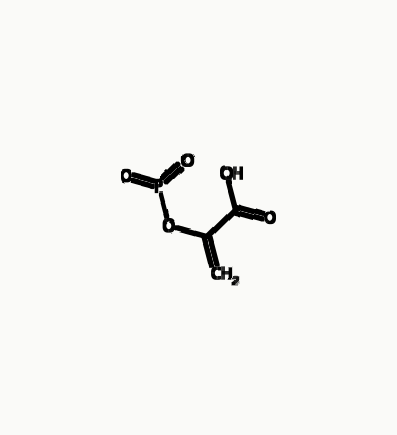 C=C(OP(=O)=O)C(=O)O